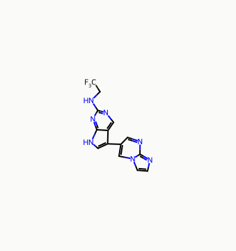 FC(F)(F)CNc1ncc2c(-c3cnc4nccn4c3)c[nH]c2n1